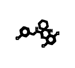 Clc1cccc(CNC2=Nc3c(Cl)ccc(Cl)c3NC23CCCCC3)c1